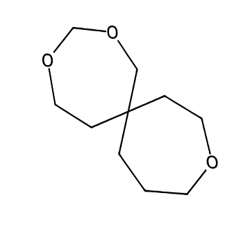 C1COCCC2(C1)CCOCOC2